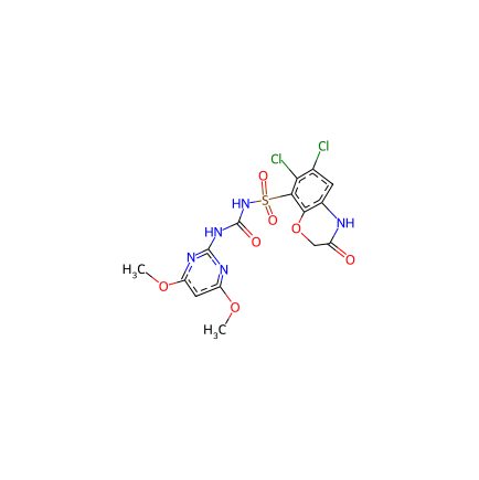 COc1cc(OC)nc(NC(=O)NS(=O)(=O)c2c(Cl)c(Cl)cc3c2OCC(=O)N3)n1